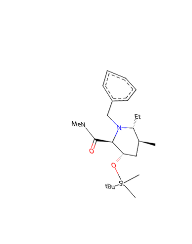 CC[C@@H]1[C@@H](C)C[C@H](O[Si](C)(C)C(C)(C)C)[C@@H](C(=O)NC)N1Cc1ccccc1